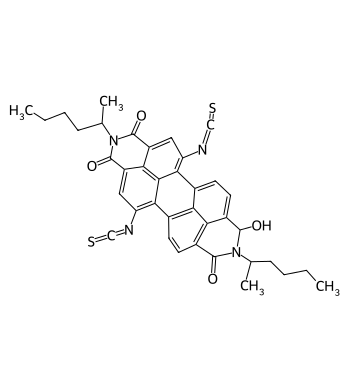 CCCCC(C)N1C(=O)c2cc(N=C=S)c3c4ccc5c6c(ccc(c7c(N=C=S)cc(c2c37)C1=O)c64)C(O)N(C(C)CCCC)C5=O